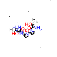 C[C@@H](O)[C@H](N)C(=O)N1CCC[C@H]1C(=O)N1CCC[C@@H]1C(=O)N[C@H](C(N)=O)[C@@H](C)O